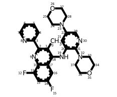 Cc1c(-c2ccccn2)nc2c(F)cc(F)cc2c1Nc1cc(N2CCOCC2)cnc1N1CCOCC1